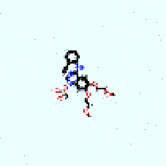 C#Cc1ccccc1Nc1ncnc2cc(OCCOC)c(OCCOC)cc12.CS(=O)(=O)O